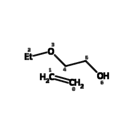 C=C.CCOCCO